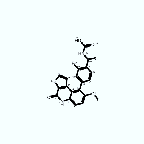 COc1ccc2[nH]c(=O)c3sccc3c2c1-c1ccc(C(C)NC(=O)O)c(F)c1